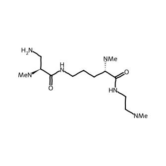 CNCCNC(=O)[C@H](CCCNC(=O)[C@H](CN)NC)NC